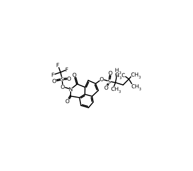 CC(C)(C)CC(C)(C)S(=O)(=O)Oc1cc2c3c(cccc3c1)C(=O)N(OS(=O)(=O)C(F)(F)F)C2=O